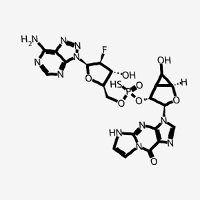 Nc1ncnc2c1nnn2[C@@H]1O[C@H](COP(=O)(S)O[C@@H]2C3C(O)[C@H]3O[C@H]2n2cnc3c(=O)n4cc[nH]c4nc32)[C@@H](O)[C@@H]1F